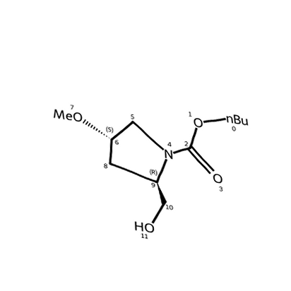 CCCCOC(=O)N1C[C@@H](OC)C[C@@H]1CO